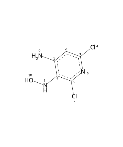 Nc1cc(Cl)nc(Cl)c1NO